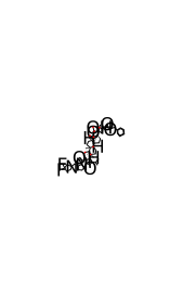 CC(C)C1=C2[C@H]3CC[C@@H]4[C@]5(C)CC[C@H]([C@@]6(C(=O)O)C[C@@H](C(=O)OCc7ccccc7)C6(C)C)C(C)(C)[C@H]5CC[C@@]4(C)[C@]3(C)CC[C@@]2(C(=O)N2CCC[C@H]2CN2CCC(F)(F)C2)CC1=O